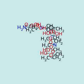 C=C(C)C#N.C=C(C)C(=O)OC.C=C(CC(=O)O)C(=O)O.C=CC#N.C=CC(=O)O.C=CC(=O)OCCO.C=CC(N)=O.C=CC=C.C=Cc1ccccc1.O=C(O)/C=C\C(=O)O